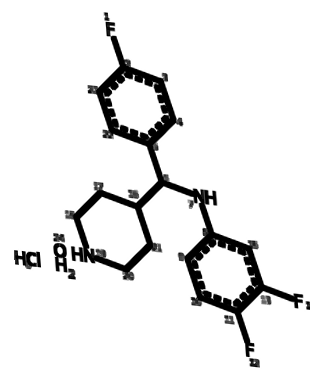 Cl.Fc1ccc(C(Nc2ccc(F)c(F)c2)C2CCNCC2)cc1.O